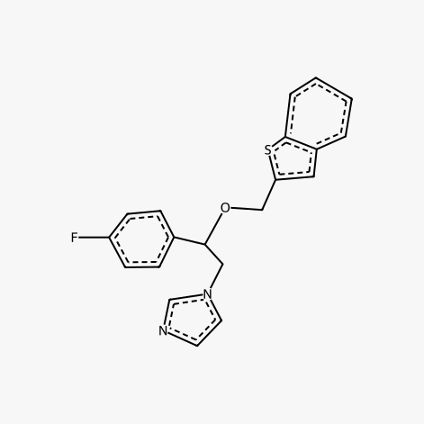 Fc1ccc(C(Cn2ccnc2)OCc2cc3ccccc3s2)cc1